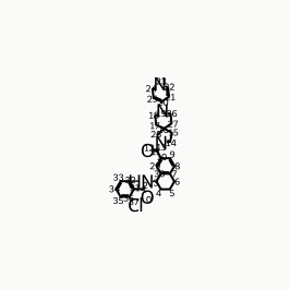 O=C(N[C@@H]1CCCc2ccc(C(=O)N3CCC4(CCN(c5ccncc5)CC4)C3)cc21)c1ccccc1Cl